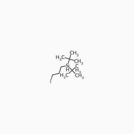 CC(C)(C)[SiH](CCCI)C(C)(C)C